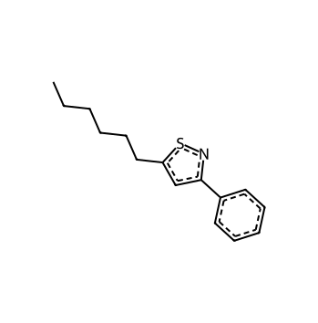 CCCCCCc1cc(-c2ccccc2)ns1